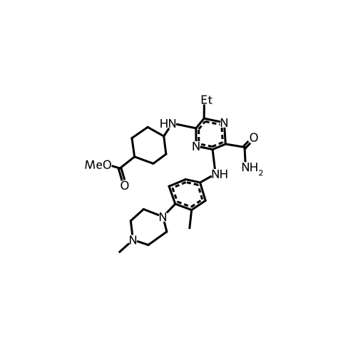 CCc1nc(C(N)=O)c(Nc2ccc(N3CCN(C)CC3)c(C)c2)nc1NC1CCC(C(=O)OC)CC1